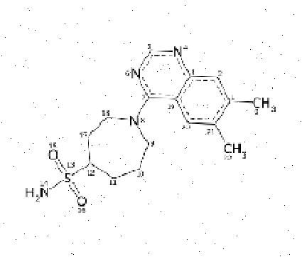 Cc1cc2ncnc(N3CCCC(S(N)(=O)=O)CC3)c2cc1C